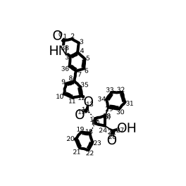 O=C1CCc2ccc(-c3cccc(OC(=O)[C@H]4[C@@H](c5ccccc5)[C@H](C(=O)O)[C@@H]4c4ccccc4)c3)cc2N1